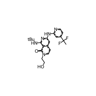 CC(C)(C)Nc1nc(Nc2cc(C(C)(F)F)ccn2)cc2ccn(CCO)c(=O)c12